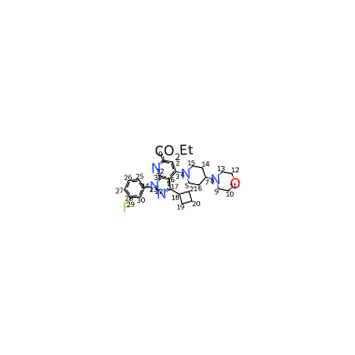 CCOC(=O)c1cc(N2CCC(N3CCOCC3)CC2)c2c(C3CCC3)nn(-c3cccc(F)c3)c2n1